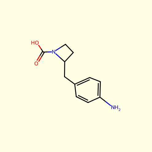 Nc1ccc(CC2CCN2C(=O)O)cc1